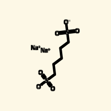 O=S(=O)([O-])CCCCCS(=O)(=O)[O-].[Na+].[Na+]